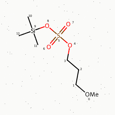 COCCCOS(=O)(=O)O[Si](C)(C)C